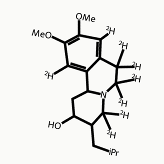 [2H]c1c(OC)c(OC)c([2H])c2c1C1CC(O)C(CC(C)C)C([2H])([2H])N1C([2H])([2H])C2([2H])[2H]